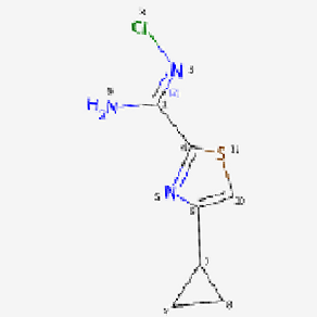 N/C(=N\Cl)c1nc(C2CC2)cs1